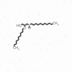 CCCCCCCCCCC[S+]([O-])CC(CO)OCCCCCCCCCC